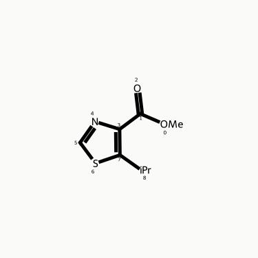 COC(=O)c1n[c]sc1C(C)C